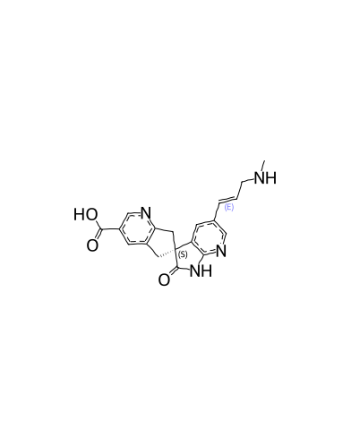 CNC/C=C/c1cnc2c(c1)[C@@]1(Cc3cc(C(=O)O)cnc3C1)C(=O)N2